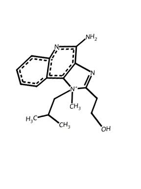 CC(C)C[N+]1(C)C(CCO)=Nc2c(N)nc3ccccc3c21